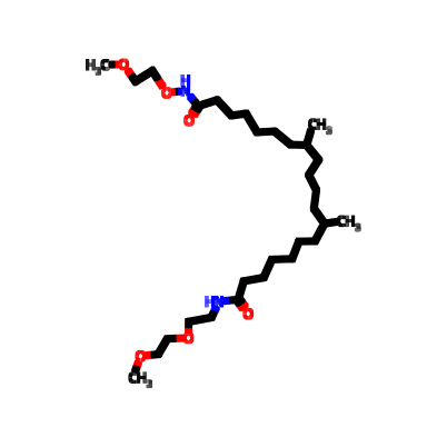 COCCOCCNC(=O)CCCCCCC(C)CCCCC(C)CCCCCCC(=O)NOCCOC